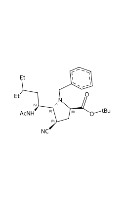 CCC(CC)C[C@H](NC(C)=O)[C@H]1[C@H](C#N)C[C@H](C(=O)OC(C)(C)C)N1Cc1ccccc1